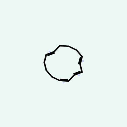 [C]1=C/C=C\CCC/C=C/CCC/C=C/1